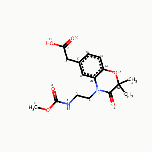 COC(=O)NCCN1C(=O)C(C)(C)Oc2ccc(CC(=O)O)cc21